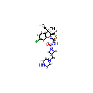 C#C[C@](C)(c1ccc(F)cc1)c1csc(NC(=O)N2CC(CN3CCNCC3)C2)n1